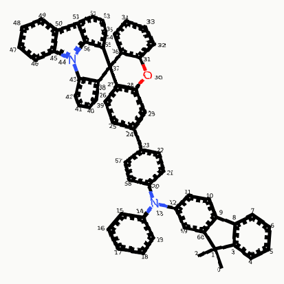 CC1(C)c2ccccc2-c2ccc(N(c3ccccc3)c3ccc(-c4ccc5c(c4)Oc4ccccc4C54c5ccccc5-n5c6ccccc6c6cccc4c65)cc3)cc21